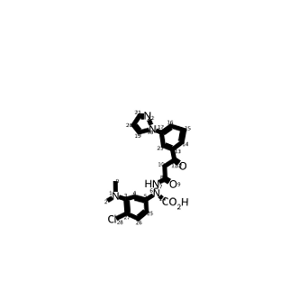 CN(C)c1cc(N(NC(=O)CC(=O)c2cccc(-n3cccn3)c2)C(=O)O)ccc1Cl